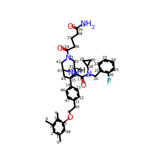 Cc1cc(C)c(C)c(OCCc2ccc(C3=C(C(=O)N(Cc4ccccc4F)C4CC4)[C@H]4CN(C(=O)CCCC(N)=O)CC(C3)N4)cc2)c1